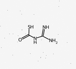 N=C(N)NC(=O)S